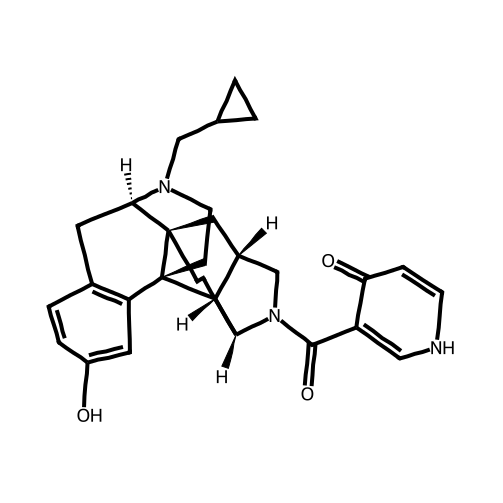 O=C(c1c[nH]ccc1=O)N1C[C@H]2C[C@@]34CC[C@@H]1[C@@H]2[C@@]31CCN(CC2CC2)[C@@H]4Cc2ccc(O)cc21